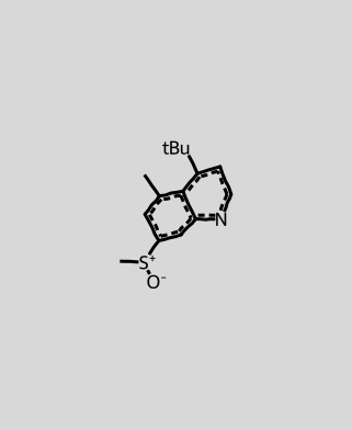 Cc1cc([S+](C)[O-])cc2nccc(C(C)(C)C)c12